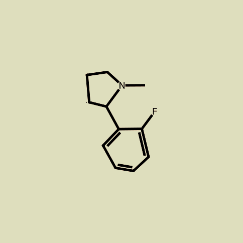 CN1CC[CH]C1c1ccccc1F